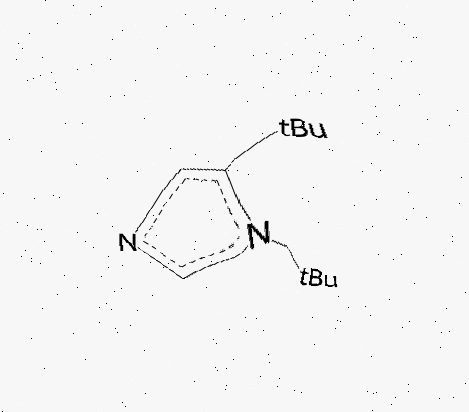 CC(C)(C)c1cncn1C(C)(C)C